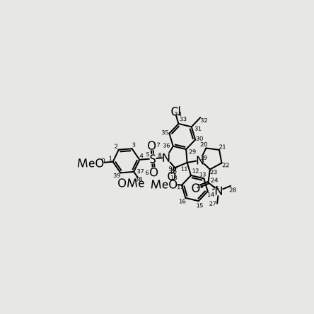 COc1ccc(S(=O)(=O)N2C(=O)C(c3ccccc3OC)(N3CCCC3C(=O)N(C)C)c3cc(C)c(Cl)cc32)c(OC)c1